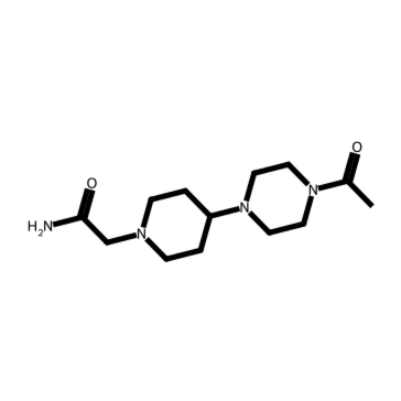 CC(=O)N1CCN(C2CCN(CC(N)=O)CC2)CC1